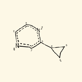 [c]1cnc(C2CC2)cn1